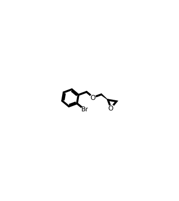 Brc1ccccc1COC[C@H]1CO1